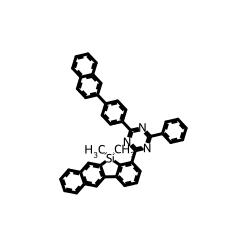 C[Si]1(C)c2cc3ccccc3cc2-c2cccc(-c3nc(-c4ccccc4)nc(-c4ccc(-c5ccc6ccccc6c5)cc4)n3)c21